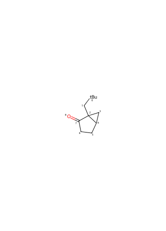 CC(C)(C)CC12CC1CCC2=O